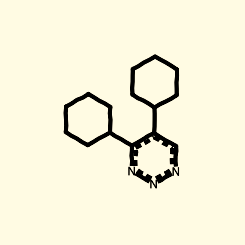 c1nnnc(C2CCCCC2)c1C1CCCCC1